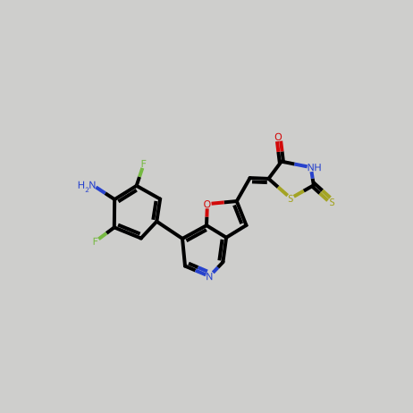 Nc1c(F)cc(-c2cncc3cc(/C=C4\SC(=S)NC4=O)oc23)cc1F